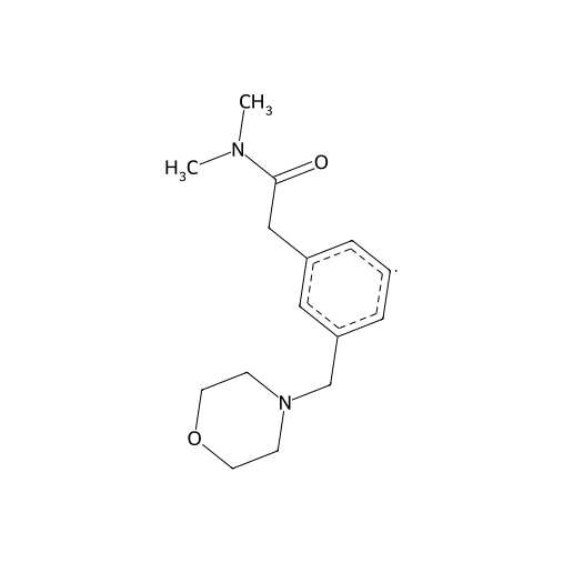 CN(C)C(=O)Cc1c[c]cc(CN2CCOCC2)c1